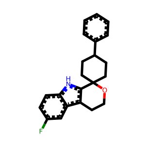 Fc1ccc2[nH]c3c(c2c1)CCOC31CCC(c2ccccc2)CC1